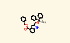 CC(C)(C)[Si](OCc1cc2c(C(=O)OCc3ccccc3)cccc2[nH]1)(c1ccccc1)c1ccccc1